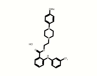 COc1ccc(N2CCN(CCOC(=O)c3ccccc3Nc3cccc(C(F)(F)F)c3)CC2)cc1.Cl